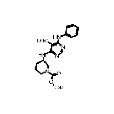 CC(C)(C)OC(=O)N1CCC[C@@H](Nc2ncnc(Nc3ccccc3)c2C=O)C1